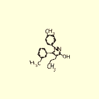 CCCc1c(O)nn(-c2ccc(C)cc2)c1-c1cccc(C)c1